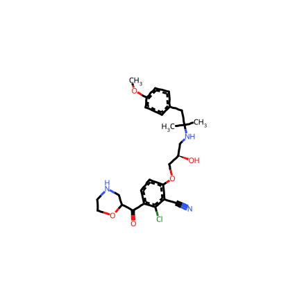 COc1ccc(CC(C)(C)NC[C@@H](O)COc2ccc(C(=O)C3CNCCO3)c(Cl)c2C#N)cc1